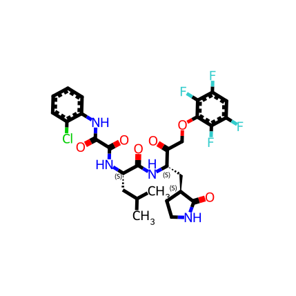 CC(C)C[C@H](NC(=O)C(=O)Nc1ccccc1Cl)C(=O)N[C@@H](C[C@@H]1CCNC1=O)C(=O)COc1c(F)c(F)cc(F)c1F